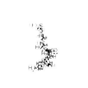 CC(=O)C(=O)O.CC(C)(COP(=O)(O)OP(=O)(O)OC[C@H]1O[C@@H](n2cnc3c(N)ncnc32)[C@H](O)[C@@H]1OP(=O)(O)O)C(O)C(=O)NCCC(=O)NCCSC(=O)CC(=O)O